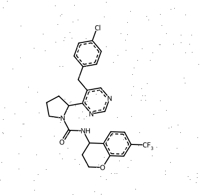 O=C(NC1CCOc2cc(C(F)(F)F)ccc21)N1CCCC1c1ncncc1Cc1ccc(Cl)cc1